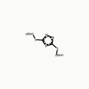 CCCCCCCCCSc1nnc(SCCCCCCCCC)s1